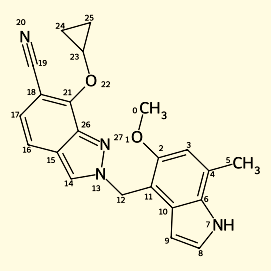 COc1cc(C)c2[nH]ccc2c1Cn1cc2ccc(C#N)c(OC3CC3)c2n1